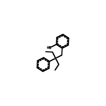 CC[Si](CC)(Cc1ccccc1S)c1ccccc1